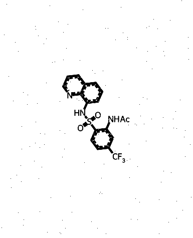 CC(=O)Nc1cc(C(F)(F)F)ccc1S(=O)(=O)Nc1cccc2cccnc12